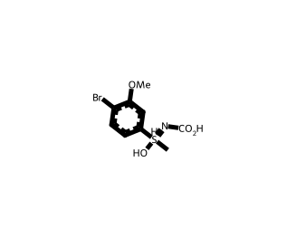 COc1cc([SH](C)(O)=NC(=O)O)ccc1Br